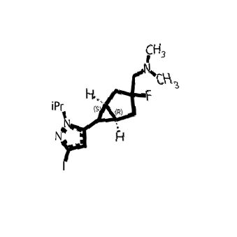 CC(C)n1nc(I)cc1C1[C@H]2CC(F)(CN(C)C)C[C@@H]12